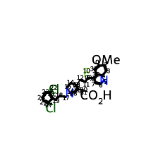 COc1ccc2nccc([C@@H](F)CC[C@@H]3CCN(CCCc4c(Cl)cccc4Cl)C[C@@H]3CC(=O)O)c2c1